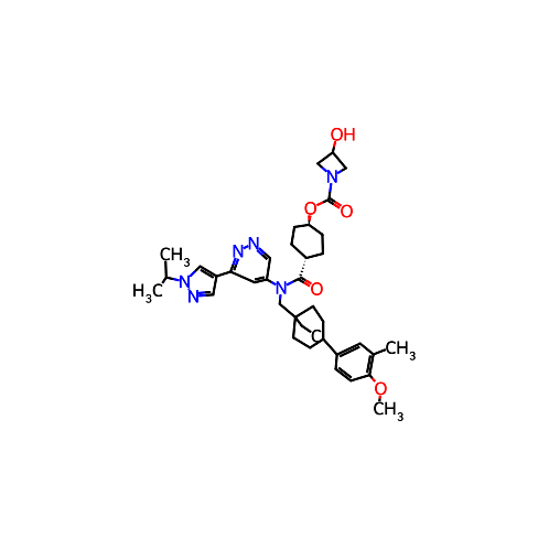 COc1ccc(C23CCC(CN(c4cnnc(-c5cnn(C(C)C)c5)c4)C(=O)[C@H]4CC[C@H](OC(=O)N5CC(O)C5)CC4)(CC2)CC3)cc1C